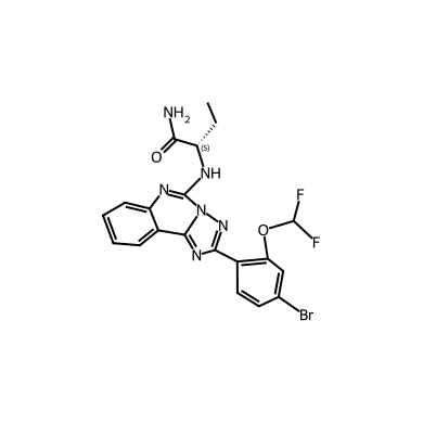 CC[C@H](Nc1nc2ccccc2c2nc(-c3ccc(Br)cc3OC(F)F)nn12)C(N)=O